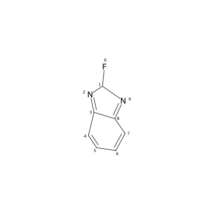 FC1N=c2ccccc2=N1